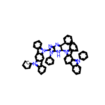 C1=CCCC(n2c3ccccc3c3cc4c(cc32)c2ccccc2n4-c2nc3c(n2-c2ccccc2)NC(n2c4ccccc4c4c5c(ccc42)c2ccccc2n5-c2ccccc2)C(c2ccccc2)=N3)=C1